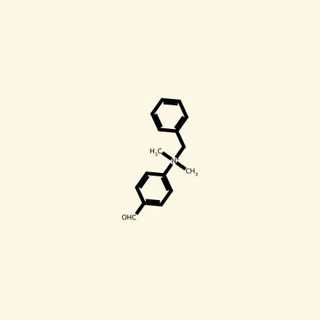 C[N+](C)(Cc1ccccc1)c1ccc(C=O)cc1